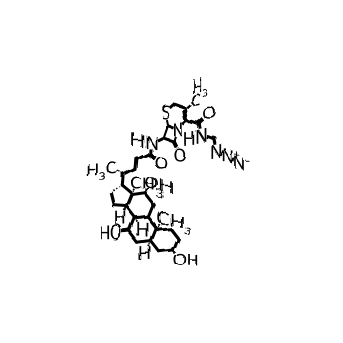 CC1=C(C(=O)NCN=[N+]=[N-])N2C(=O)C(NC(=O)CC[C@@H](C)[C@H]3CC[C@H]4[C@@H]5C(O)C[C@@H]6C[C@H](O)CC[C@]6(C)C5C[C@H](O)[C@]34C)C2SC1